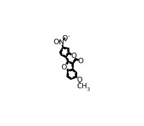 COc1ccc2oc3c4ccc([N+](=O)[O-])cc4oc(=O)c3c2c1